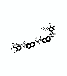 COC(=O)c1cc(NS(=O)(=O)c2ccc3ccc(NC(=O)Nc4ccc5ccc(S(=O)(=O)Nc6cc(C)c(Cl)c(C(=O)O)c6)cc5c4)cc3c2)ccc1Cl